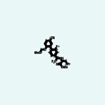 COCOc1ccc(C#N)cc1-c1ccc(C(NC(CC(C)C)C(=O)OC)C(F)(F)F)cc1F